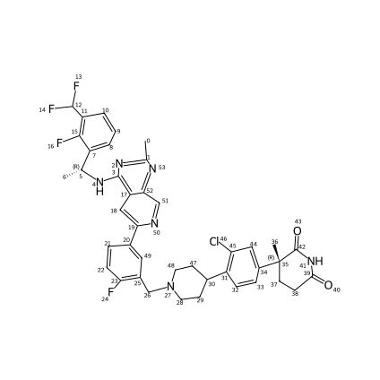 Cc1nc(N[C@H](C)c2cccc(C(F)F)c2F)c2cc(-c3ccc(F)c(CN4CCC(c5ccc([C@@]6(C)CCC(=O)NC6=O)cc5Cl)CC4)c3)ncc2n1